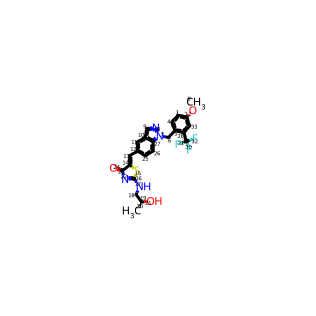 COc1ccc(Cn2ncc3cc(/C=C4\SC(NC[C@H](C)O)=NC4=O)ccc32)c(C(F)(F)F)c1